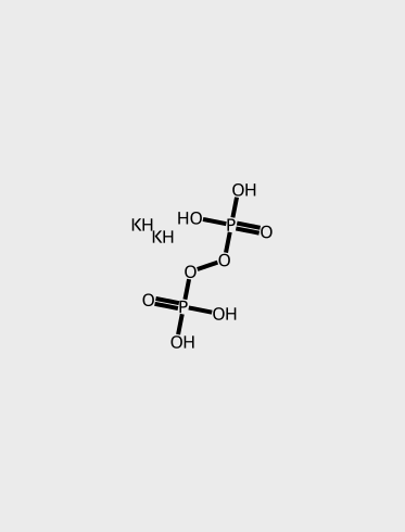 O=P(O)(O)OOP(=O)(O)O.[KH].[KH]